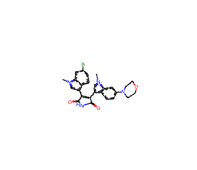 Cn1cc(C2=C(c3cn(C)c4cc(N5CCOCC5)ccc34)C(=O)NC2=O)c2ccc(Br)cc21